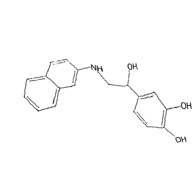 Oc1ccc(C(O)CNc2ccc3ccccc3c2)cc1O